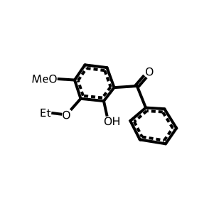 CCOc1c(OC)ccc(C(=O)c2ccccc2)c1O